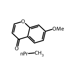 CCCC.COc1ccc2c(=O)ccoc2c1